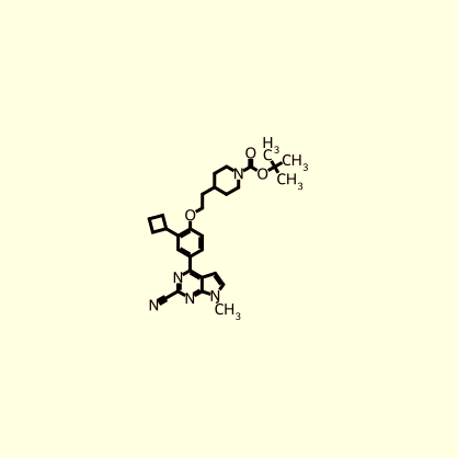 Cn1ccc2c(-c3ccc(OCCC4CCN(C(=O)OC(C)(C)C)CC4)c(C4CCC4)c3)nc(C#N)nc21